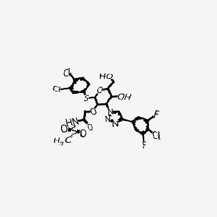 CS(=O)(=O)NC(=O)COC1C(Sc2ccc(Cl)c(Cl)c2)OC(CO)C(O)C1n1cc(-c2cc(F)c(Cl)c(F)c2)nn1